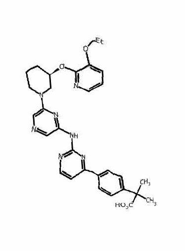 CCOc1cccnc1O[C@@H]1CCCN(c2cncc(Nc3nccc(-c4ccc(C(C)(C)C(=O)O)cc4)n3)n2)C1